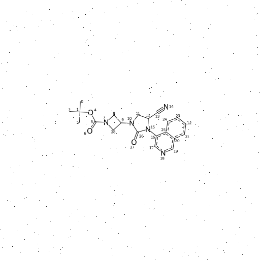 CC(C)(C)OC(=O)N1CC(N2CC(C#N)N(c3cncc4ccccc34)C2=O)C1